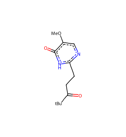 COc1cnc(CCC(=O)C(C)(C)C)[nH]c1=O